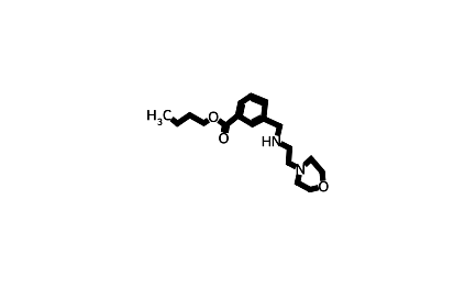 CCCCOC(=O)c1cccc(CNCCN2CCOCC2)c1